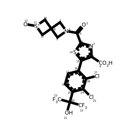 O=C(O)c1nc(C(=O)N2CC3(C2)C[S+]([O-])C3)sc1-c1ccc(C(O)(C(F)(F)F)C(F)(F)F)c(Cl)c1Cl